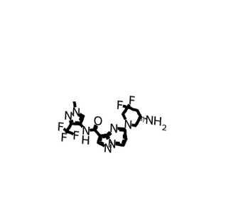 Cn1cc(NC(=O)c2cnn3ccc(N4C[C@@H](N)CC(F)(F)C4)nc23)c(C(F)(F)F)n1